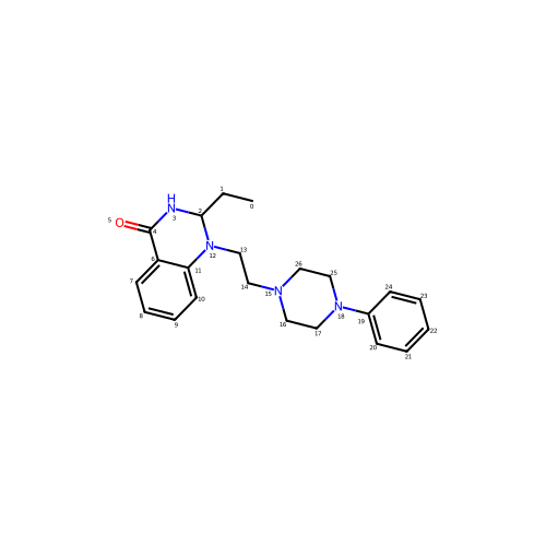 CCC1NC(=O)c2ccccc2N1CCN1CCN(c2ccccc2)CC1